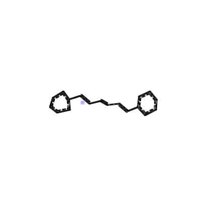 C(C=Cc1ccccc1)=C/C=C/c1ccccc1